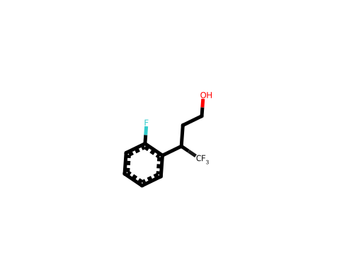 OCC[C](c1ccccc1F)C(F)(F)F